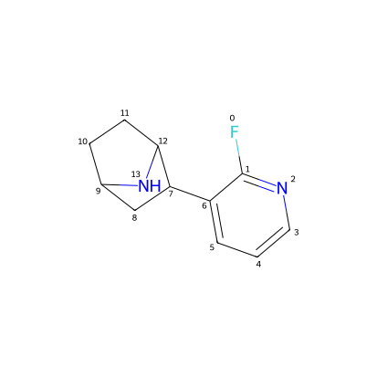 Fc1ncccc1C1CC2CCC1N2